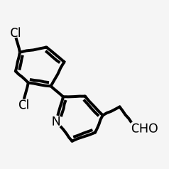 O=CCc1ccnc(-c2ccc(Cl)cc2Cl)c1